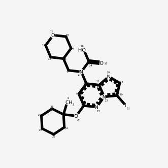 CC1(Oc2cc(N(CC3CCOCC3)C(=O)O)c3ncc(I)n3n2)CCCCC1